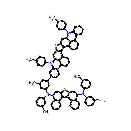 Cc1ccc(-n2c3ccccc3c3cccc4c5c(cc2c34)sc2cc3c4c(cccc4c25)c2ccc(-c4cc(C)cc(N(c5cccc(C)c5)c5cc6sc7cc(N(c8cccc(C)c8)c8cccc(C)c8)c8ccccc8c7c6c6ccccc56)c4)cc2n3-c2ccc(C)cc2)cc1